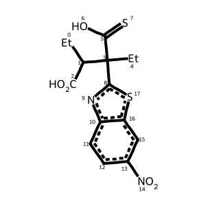 CCC(C(=O)O)C(CC)(C(O)=S)c1nc2ccc([N+](=O)[O-])cc2s1